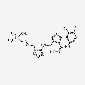 C[Si](C)(C)CCOCn1nnnc1NCc1nonc1/C(=N\O)Nc1ccc(F)c(Cl)c1